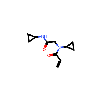 C=CC(=O)N(CC(=O)NC1CC1)C1CC1